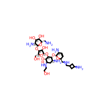 NC[C@@H]1O[C@H](O[C@H]2[C@@H](O)[C@H](O[C@@H]3[C@@H](O)[C@H](NCCO)C[C@H](N)[C@H]3O[C@H]3O[C@H](CNCC4CC(N)C4)C=C[C@H]3N)O[C@@H]2CO)[C@H](N)[C@@H](O)[C@@H]1O